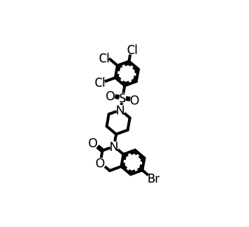 O=C1OCc2cc(Br)ccc2N1C1CCN(S(=O)(=O)c2ccc(Cl)c(Cl)c2Cl)CC1